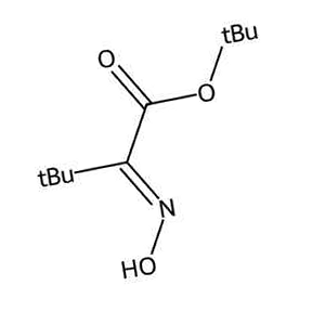 CC(C)(C)OC(=O)C(=NO)C(C)(C)C